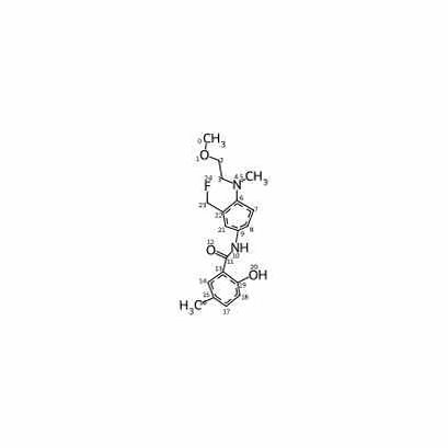 COCCN(C)c1ccc(NC(=O)c2cc(C)ccc2O)cc1CF